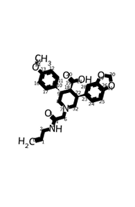 C=CCNC(=O)CN1C[C@H](c2ccc(OC)cc2)[C@@H](C(=O)O)[C@@H](c2ccc3c(c2)OCO3)C1